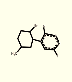 CC1CCC(Br)C(c2cc(I)nnc2Br)C1